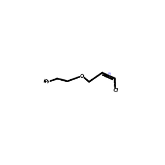 CC(C)CCOC/C=C\Cl